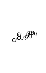 CC(C)(C)OC(=O)N1CCC(Cc2cc(Cl)cc(Cl)c2)CC1